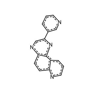 c1cncc(-c2cnc3ccc4ncccc4c3n2)c1